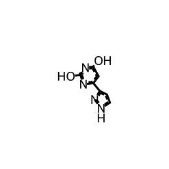 Oc1cc(-c2cc[nH]n2)nc(O)n1